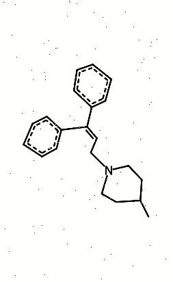 CC1CCN(CC=C(c2ccccc2)c2ccccc2)CC1